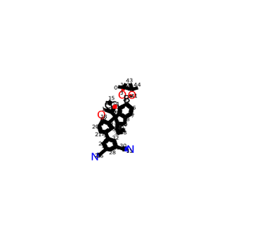 CC1(C)OB(c2ccc3c(c2)C2(c4ccccc4Oc4ccc(-c5cc(C#N)cc(C#N)c5)cc42)c2ccccc2-3)OC1(C)C